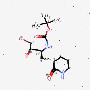 CC(C)(C)OC(=O)N[C@@H](C[C@@H]1CCCNC1=O)C(=O)CBr